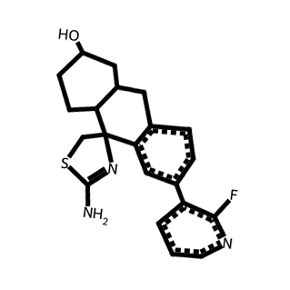 NC1=NC2(CS1)c1cc(-c3cccnc3F)ccc1CC1CC(O)CCC12